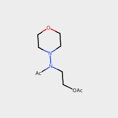 [CH2]C(=O)OCCN(C(C)=O)N1CCOCC1